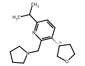 CC(C)c1ccc([C@@H]2CCOC2)c(CN2CCCC2)n1